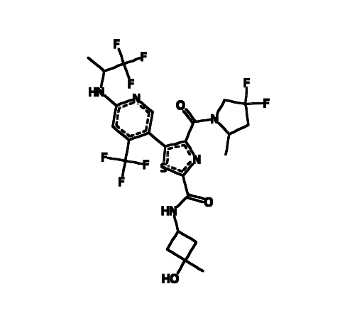 CC1CC(F)(F)CN1C(=O)c1nc(C(=O)NC2CC(C)(O)C2)sc1-c1cnc(NC(C)C(F)(F)F)cc1C(F)(F)F